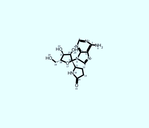 Nc1ncnc2c1ncn2[C@]1(C2CCC(=O)N2)O[C@H](CO)[C@@H](O)[C@H]1O